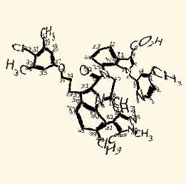 Cc1ccnc(Cn2cc(C(=O)O)c3cccc(N4C[C@@H](C)n5c(c(CCCOc6cc(C)c(Cl)c(C)c6)c6ccc(Cl)c(-c7c(C)nn(C)c7C)c65)C4=O)c32)c1